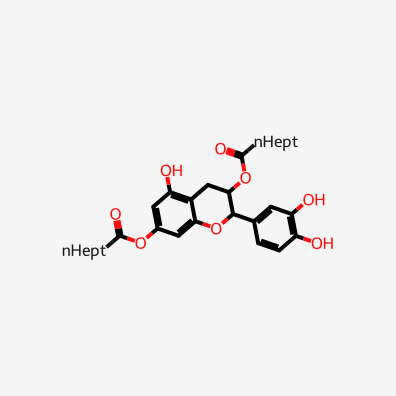 CCCCCCCC(=O)Oc1cc(O)c2c(c1)OC(c1ccc(O)c(O)c1)C(OC(=O)CCCCCCC)C2